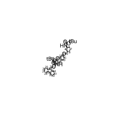 CC(C)(C)OC(=O)Nc1cccc(COc2ccc(CC(NC(=O)OCC3c4ccccc4-c4ccccc43)C(=O)OC(C)(C)C)cc2)c1